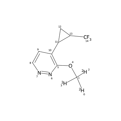 [2H]C([2H])([2H])Oc1nnccc1C1CC1C(F)(F)F